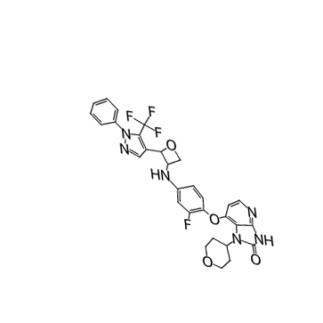 O=c1[nH]c2nccc(Oc3ccc(NC4COC4c4cnn(-c5ccccc5)c4C(F)(F)F)cc3F)c2n1C1CCOCC1